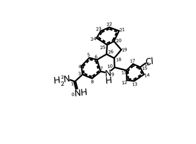 N=C(N)c1ccc2c(c1)NC(c1cccc(Cl)c1)C1Cc3ccccc3C21